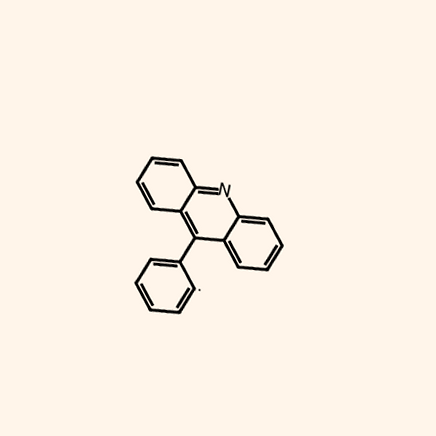 [c]1ccccc1-c1c2ccccc2nc2ccccc12